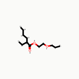 [CH2]CCOCCOC(=O)C(CC)CCCC